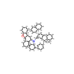 CC12c3ccc(cc3)-c3ccccc3N(c3cc4c(oc5cccc(-c6ccc7ccccc7c6)c54)c4ccccc34)c3ccc(c1c3)-c1ccccc12